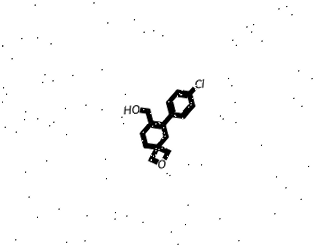 OCC1=C(c2ccc(Cl)cc2)CC2(CC1)COC2